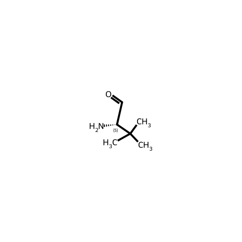 CC(C)(C)[C@H](N)C=O